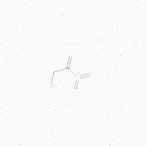 CCCCC(=O)[SH](=O)=O